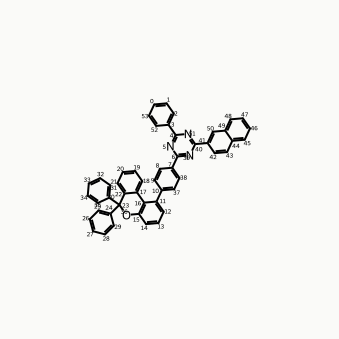 c1ccc(-c2nc(-c3ccc(-c4cccc5c4-c4ccccc4C(c4ccccc4)(c4ccccc4)O5)cc3)nc(-c3ccc4ccccc4c3)n2)cc1